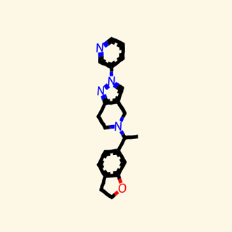 CC(c1ccc2c(c1)OCC2)N1CCc2nn(-c3cccnc3)cc2C1